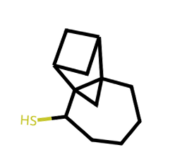 SC1CCCCC23CC12C1CC3C1